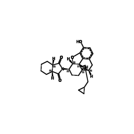 O=C1[C@H]2CCCC[C@H]2C(=O)N1[C@@H]1CC[C@@]2(O)[C@H]3Cc4ccc(O)c5c4[C@@]2(CCN3CC2CC2)[C@H]1O5